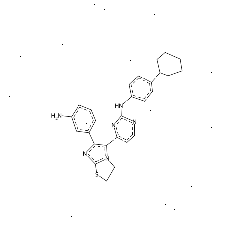 Nc1cccc(-c2nc3n(c2-c2ccnc(Nc4ccc(C5CCCCC5)cc4)n2)CCS3)c1